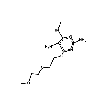 CNc1nc(N)nc(OCCOCCOC)c1N